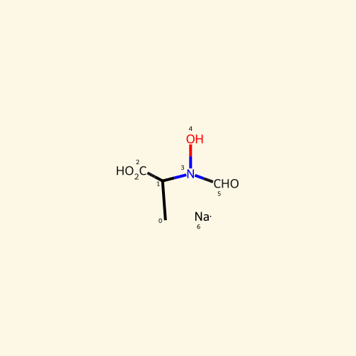 CC(C(=O)O)N(O)C=O.[Na]